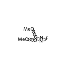 COCOCOCOc1cc2nc3ccc(F)cc3nc2cc1OCOCOCOC